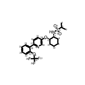 CC(C)S(=O)(=O)N[C@H]1CCCC[C@H]1Oc1ccc(-c2ccccc2OC(F)(F)F)nc1